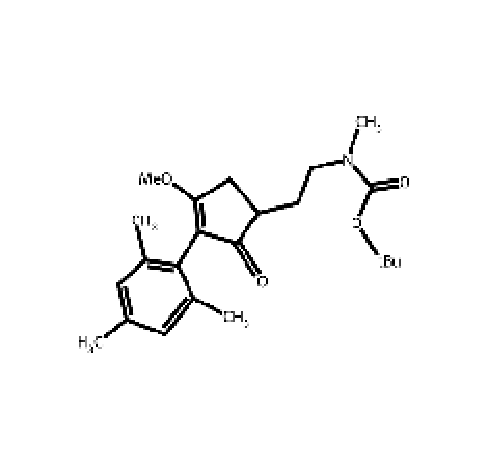 COC1=C(c2c(C)cc(C)cc2C)C(=O)C(CCN(C)C(=O)OC(C)(C)C)C1